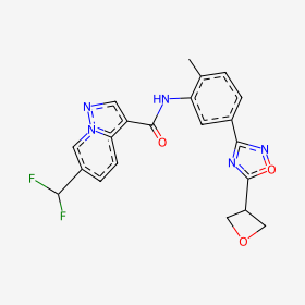 Cc1ccc(-c2noc(C3COC3)n2)cc1NC(=O)c1cnn2cc(C(F)F)ccc12